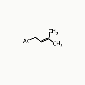 CC(=O)CC=C(C)C